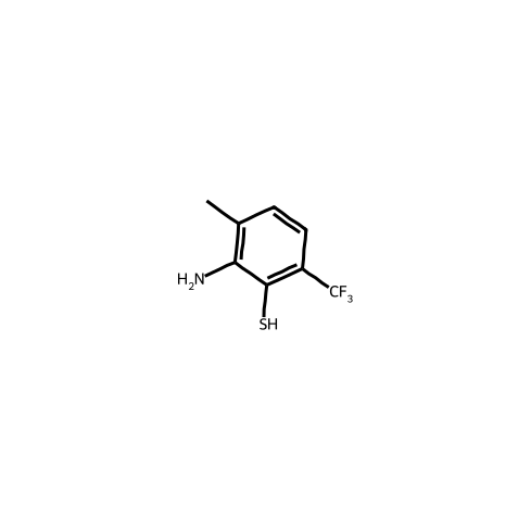 Cc1ccc(C(F)(F)F)c(S)c1N